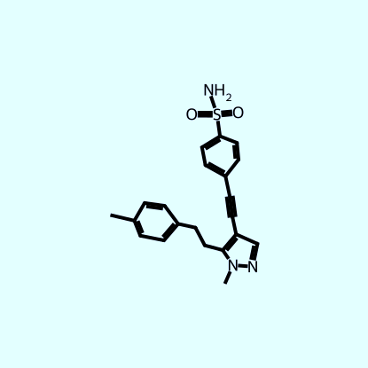 Cc1ccc(CCc2c(C#Cc3ccc(S(N)(=O)=O)cc3)cnn2C)cc1